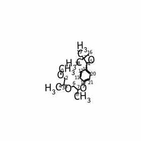 COCC(C)OCC(C)Oc1ccc(C2OCC2(C)C)cc1